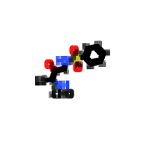 CC[C@H](NC=O)C(=O)CNS(=O)(=O)c1ccccc1